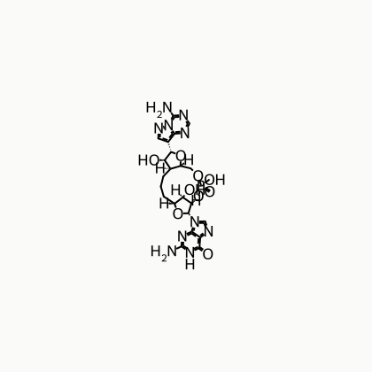 Nc1nc2c(ncn2[C@@H]2O[C@@H]3CCC[C@H]4[C@@H](O)[C@H](c5cnn6c(N)ncnc56)O[C@@H]4COP(=O)(O)O[C@@H]2[C@@H]3O)c(=O)[nH]1